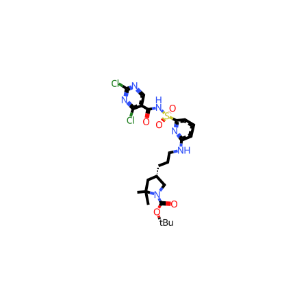 CC(C)(C)OC(=O)N1C[C@@H](CCCNc2cccc(S(=O)(=O)NC(=O)c3cnc(Cl)nc3Cl)n2)CC1(C)C